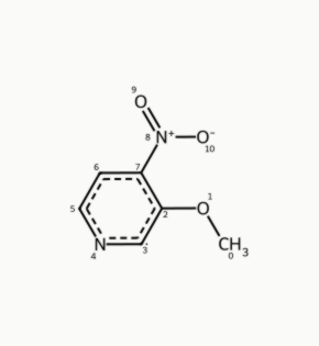 COc1[c]nccc1[N+](=O)[O-]